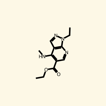 CCOC(=O)c1cnc2c(cnn2CC)c1NC